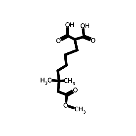 COC(=O)CC(C)(C)CCCCC(C(=O)O)C(=O)O